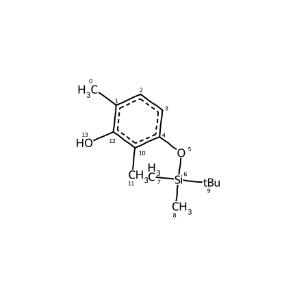 Cc1ccc(O[Si](C)(C)C(C)(C)C)c(C)c1O